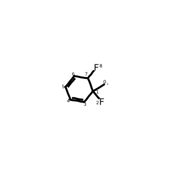 [CH2]C1(F)C=CC=CC1F